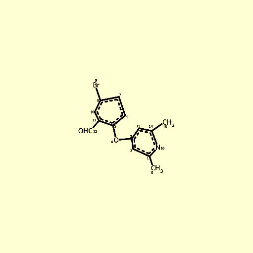 Cc1cc(Oc2ccc(Br)cc2C=O)cc(C)n1